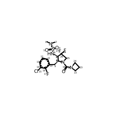 CN(C)S(=O)(=O)N[C@@H]1[C@H](Cc2cccc(Cl)c2F)N(C(=O)N2CCC2)CC1(F)F